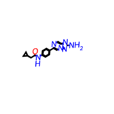 Nc1nc2cnc(-c3ccc(NC(=O)CC4CC4)cc3)cn2n1